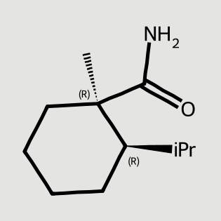 CC(C)[C@H]1CCCC[C@@]1(C)C(N)=O